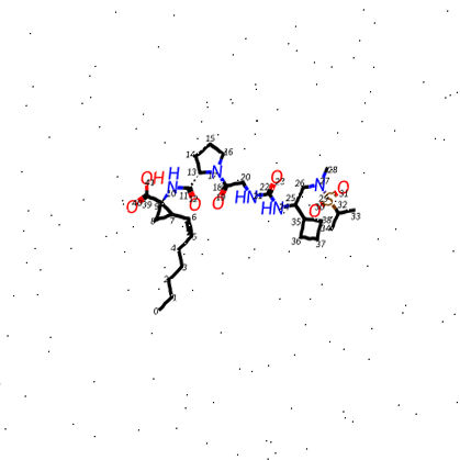 CCCCC/C=C\C1C[C@]1(NC(=O)[C@@H]1CCCN1C(=O)CNC(=O)NC(CN(C)S(=O)(=O)C(C)C)C1CCC1)C(=O)O